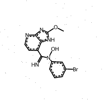 COc1nc2nccc(C(=N)N(O)c3cccc(Br)c3)c2[nH]1